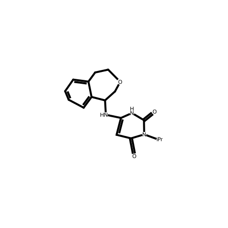 CC(C)n1c(=O)cc(NC2COCCc3ccccc32)[nH]c1=O